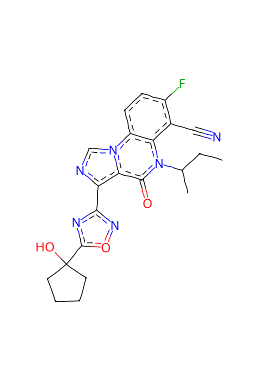 CCC(C)n1c(=O)c2c(-c3noc(C4(O)CCCC4)n3)ncn2c2ccc(F)c(C#N)c21